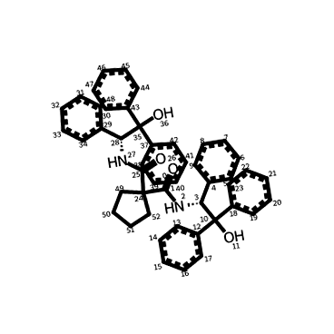 O=C(N[C@H](c1ccccc1)C(O)(c1ccccc1)c1ccccc1)C1(C(=O)N[C@H](c2ccccc2)C(O)(c2ccccc2)c2ccccc2)CCCC1